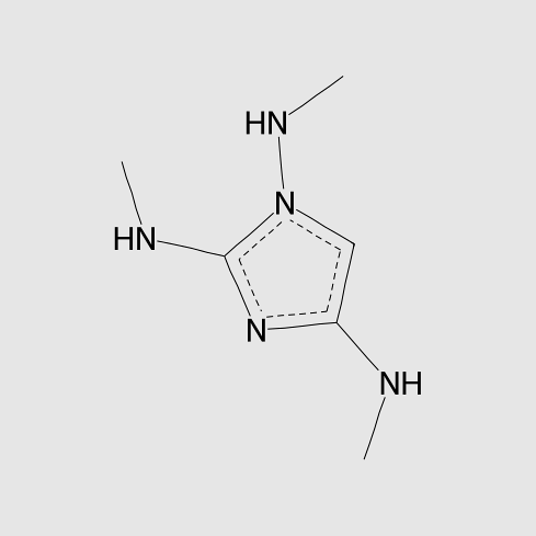 CNc1cn(NC)c(NC)n1